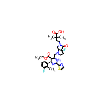 CCOC(=O)C1=C(CN2CCC3(F)C(=O)N(CCC(C)(C)C(=O)O)CC23)NC(c2nccs2)=N[C@H]1c1cccc(F)c1C